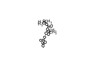 C[Si](C)(C)c1ccc(N(c2ccccc2)c2ccc3c(c2)[Si](C)(C)c2cccc4c(-c5ccc(N(c6ccccc6)c6cccc7c6oc6ccccc67)cc5)ccc-3c24)cc1